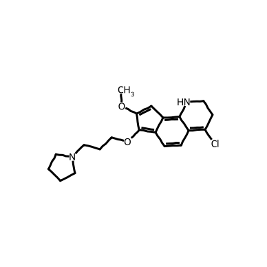 COC1=Cc2c3c(ccc2=C1OCCCN1CCCC1)=C(Cl)CCN3